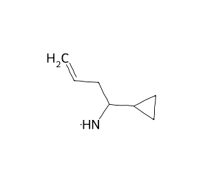 C=CCC([NH])C1CC1